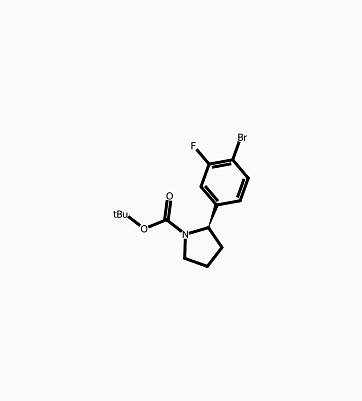 CC(C)(C)OC(=O)N1CCC[C@@H]1c1ccc(Br)c(F)c1